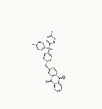 Cc1ccc(S(C)(c2ccc(C)cc2)c2ccc(Sc3ccc4c(c3)C(=O)c3ccccc3C4=O)cc2)cc1